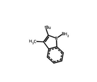 BB1C(C(C)(C)C)=C(C)c2ccccc21